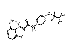 CC(C)O/C(=N\C(=O)Nc1ccc(OC(F)(F)C(Cl)Cl)cc1)c1c(F)cccc1F